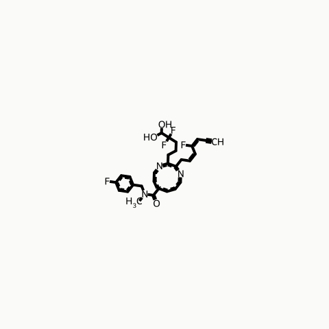 C#C/C=C(F)\C=C/Cc1ncccc(C(=O)N(C)Cc2ccc(F)cc2)ccnc1CCCC(F)(F)C(O)O